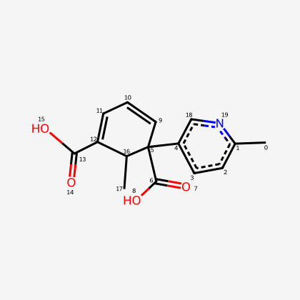 Cc1ccc(C2(C(=O)O)C=CC=C(C(=O)O)C2C)cn1